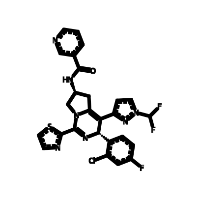 O=C(N[C@H]1CC2=C(c3ccn(C(F)F)n3)[C@H](c3ccc(F)cc3Cl)N=C(c3nccs3)N2C1)c1cccnc1